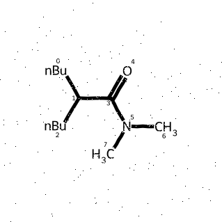 CCCCC(CCCC)C(=O)N(C)C